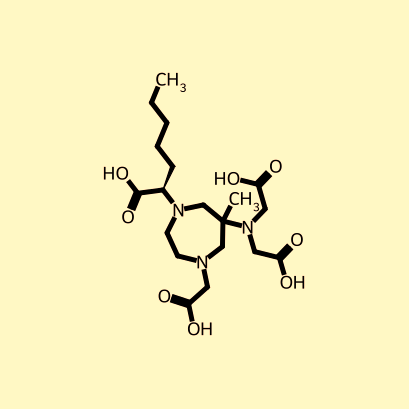 CCCCC[C@H](C(=O)O)N1CCN(CC(=O)O)CC(C)(N(CC(=O)O)CC(=O)O)C1